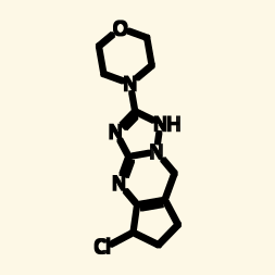 ClC1CCC2=C1N=C1N=C(N3CCOCC3)NN1C2